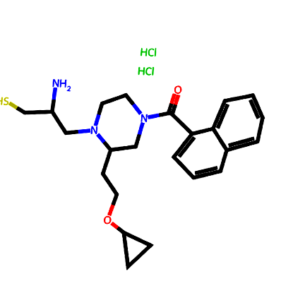 Cl.Cl.NC(CS)CN1CCN(C(=O)c2cccc3ccccc23)CC1CCOC1CC1